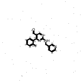 O=Cc1cnc(NCc2cccnc2)nc1-c1ccccc1F